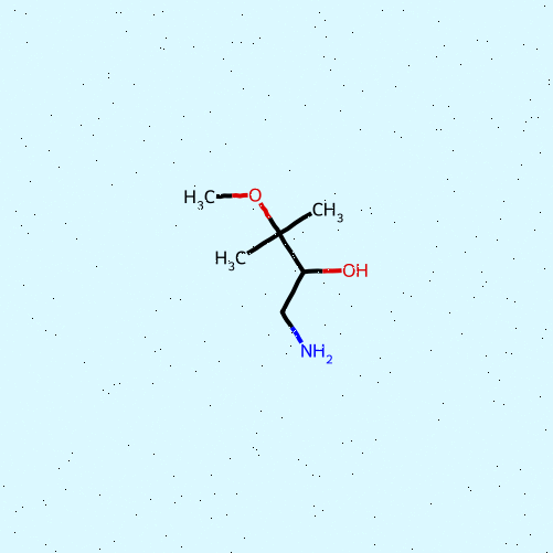 COC(C)(C)C(O)CN